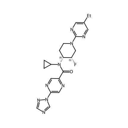 CCc1cnc(N2CC[C@@H](N(C(=O)c3cnc(-n4cncn4)cn3)C3CC3)[C@@H](F)C2)nc1